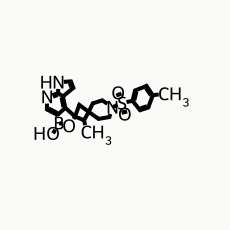 Cc1ccc(S(=O)(=O)N2CCC3(CC2)CC2(OB(O)c4cnc5[nH]ccc5c42)C3C)cc1